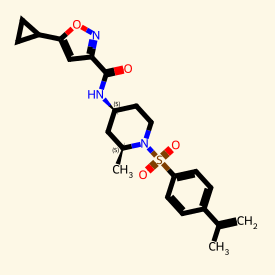 C=C(C)c1ccc(S(=O)(=O)N2CC[C@H](NC(=O)c3cc(C4CC4)on3)C[C@@H]2C)cc1